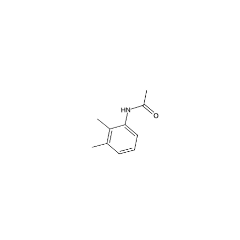 CC(=O)Nc1cccc(C)c1C